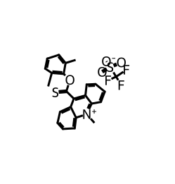 Cc1cccc(C)c1OC(=S)c1c2ccccc2[n+](C)c2ccccc12.O=S(=O)([O-])C(F)(F)F